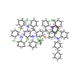 Fc1cccc(F)c1N(c1ccccc1)c1cc2c3c(c1)N(c1ccccc1C(F)(F)F)c1c(cc4c(c1F)Sc1cc(N(c5ccc(-c6ccccc6)cc5)c5ccccc5-c5ccccc5)cc5c1B4c1ccccc1N5c1c(F)cccc1F)B3c1ccccc1N2c1c(F)cccc1F